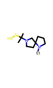 CCN1CCCC12CCN(C(C)(C)SS)C2